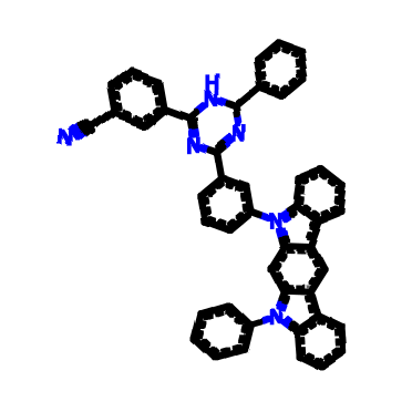 N#Cc1cccc(C2=NC(c3cccc(-n4c5ccccc5c5cc6c7ccccc7n(-c7ccccc7)c6cc54)c3)=NC(c3ccccc3)N2)c1